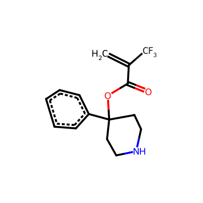 C=C(C(=O)OC1(c2ccccc2)CCNCC1)C(F)(F)F